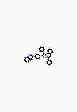 c1ccc(-c2c(-c3ccc(-c4cnc5ccccc5c4)cc3)nn3c(-c4ccccc4)cc4ccccc4c23)cc1